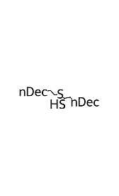 CCCCCCCCCCCCSC(S)CCCCCCCCCCC